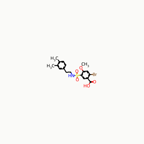 COc1cc(Br)c(C(=O)O)cc1S(=O)(=O)NCCc1ccc(C)c(C)c1